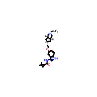 CC1(C)CC1C(=O)Nc1c[nH]c2ccc(OCC[C@@H]3C[C@@H]4CN(CC(F)(F)F)C[C@@H]4C3)cc12